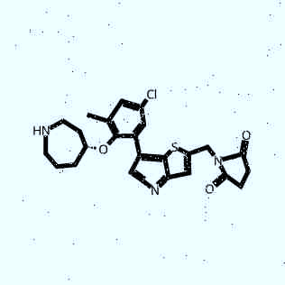 Cc1cc(Cl)cc(-c2ccnc3cc(CN4C(=O)CCC4=O)sc23)c1O[C@@H]1CCCNCC1